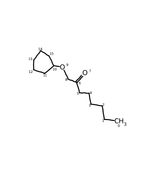 CCCCCCC(=O)COC1CCCCC1